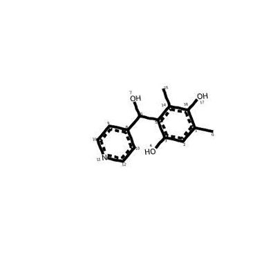 Cc1cc(O)c(C(O)c2ccncc2)c(C)c1O